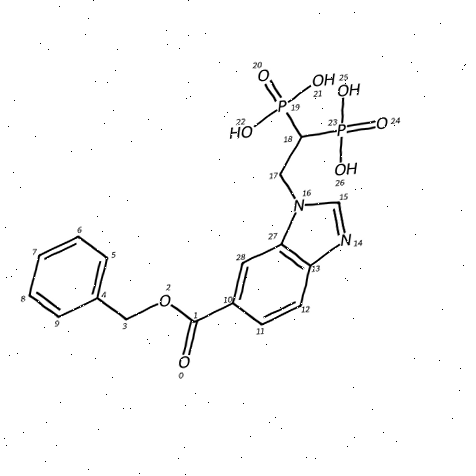 O=C(OCc1ccccc1)c1ccc2ncn(CC(P(=O)(O)O)P(=O)(O)O)c2c1